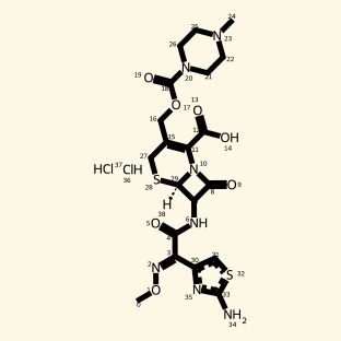 CO/N=C(/C(=O)NC1C(=O)N2C(C(=O)O)=C(COC(=O)N3CCN(C)CC3)CS[C@H]12)c1csc(N)n1.Cl.Cl